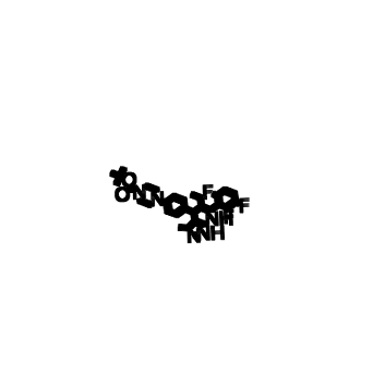 CCC1=C(c2c(F)ccc(F)c2F)Nc2[nH]nc(C)c2C1c1ccc(N2CCN(C(=O)OC(C)(C)C)CC2)cc1